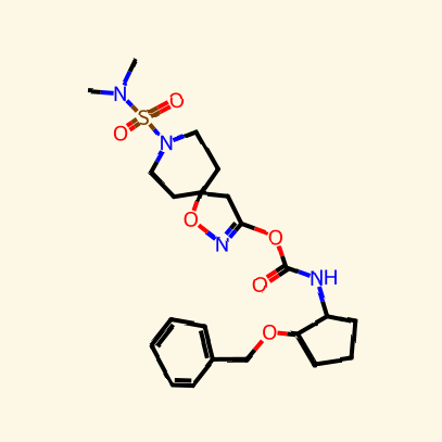 CN(C)S(=O)(=O)N1CCC2(CC1)CC(OC(=O)NC1CCCC1OCc1ccccc1)=NO2